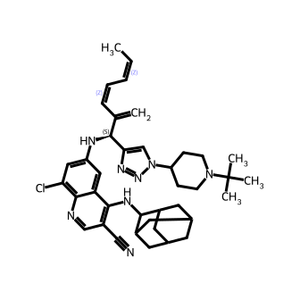 C=C(/C=C\C=C/C)[C@H](Nc1cc(Cl)c2ncc(C#N)c(NC3C4CC5CC(C4)CC3C5)c2c1)c1cn(C2CCN(C(C)(C)C)CC2)nn1